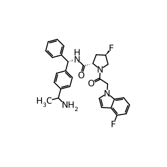 CC(N)c1ccc([C@@H](NC(=O)[C@@H]2C[C@@H](F)CN2C(=O)Cn2ccc3c(F)cccc32)c2ccccc2)cc1